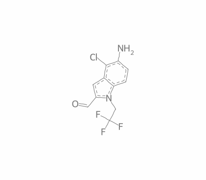 Nc1ccc2c(cc(C=O)n2CC(F)(F)F)c1Cl